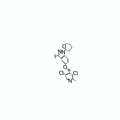 Cc1ncc(Cl)c([C@@H](C)Oc2ccc3c(c2)c(I)nn3C2CCCCO2)c1Cl